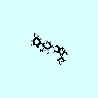 Cc1nc2c(n1C1COC1)CN([C@H]1CO[C@H](c3cc(F)ccc3F)[C@@H](N)C1)C2